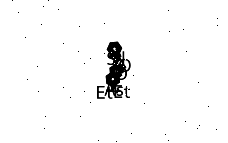 CC[As](CC)c1ccc2cc(-c3nc4ccccc4s3)c(=O)oc2c1